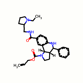 C=CCOC(=O)N1CC[C@H]2C(c3ccccc3)Nc3ccc(C(=O)NCC4CCCN4CC)cc3[C@H]21